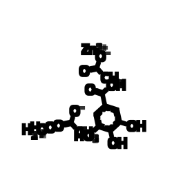 CC(=O)[O-].CC(=O)[O-].O.O.O=C(O)c1cc(O)c(O)c(O)c1.[Zn+2]